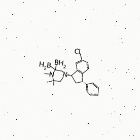 BC1(B)CN([C@@H]2C[C@@H](c3ccccc3)c3ccc(Cl)cc32)CC(C)(C)N1C